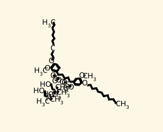 CCCCCCCCCCCCOc1ccc(C(CC(=O)CC(c2ccc(OCCCCCCCCCCCC)c(OC)c2)S(=O)(=O)[O-])S(=O)(=O)[O-])cc1OC.C[N+](C)(C)CCO.C[N+](C)(C)CCO